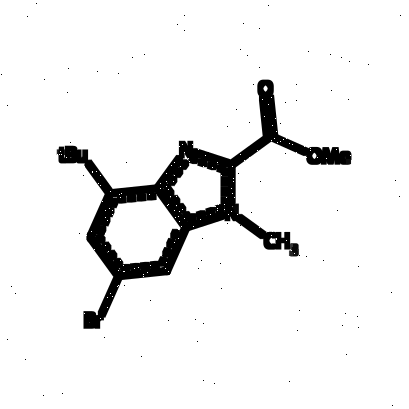 COC(=O)c1nc2c(C(C)(C)C)cc(Br)cc2n1C